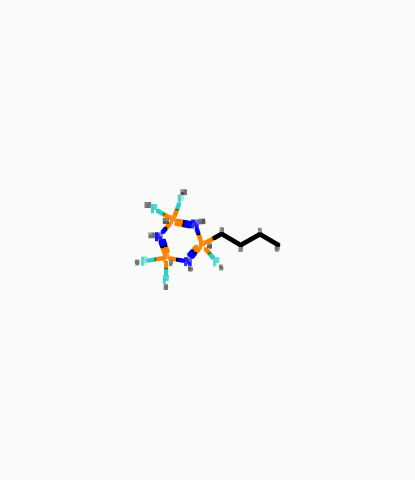 CCCCP1(F)=NP(F)(F)=NP(F)(F)=N1